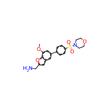 COc1cc(-c2ccc(S(=O)(=O)N3CCOCC3)cc2)cc2cc(CN)oc12